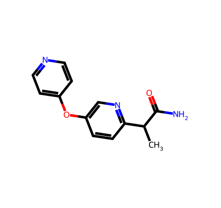 CC(C(N)=O)c1ccc(Oc2ccncc2)cn1